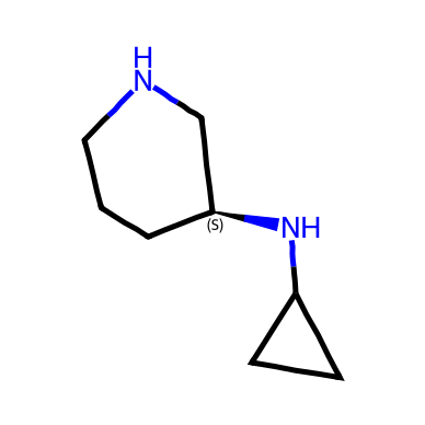 C1CNC[C@@H](NC2CC2)C1